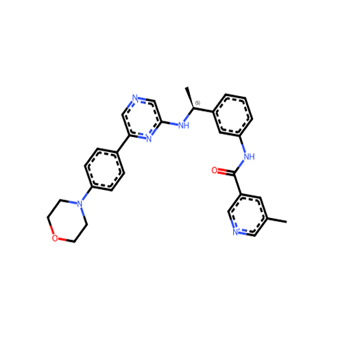 Cc1cncc(C(=O)Nc2cccc([C@H](C)Nc3cncc(-c4ccc(N5CCOCC5)cc4)n3)c2)c1